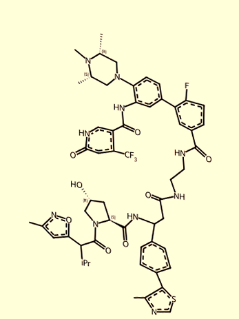 Cc1cc(C(C(=O)N2C[C@H](O)C[C@H]2C(=O)NC(CC(=O)NCCNC(=O)c2ccc(F)c(-c3ccc(N4C[C@@H](C)N(C)[C@@H](C)C4)c(NC(=O)c4c[nH]c(=O)cc4C(F)(F)F)c3)c2)c2ccc(-c3scnc3C)cc2)C(C)C)on1